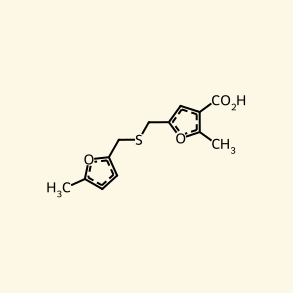 Cc1ccc(CSCc2cc(C(=O)O)c(C)o2)o1